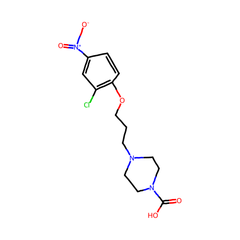 O=C(O)N1CCN(CCCOc2ccc([N+](=O)[O-])cc2Cl)CC1